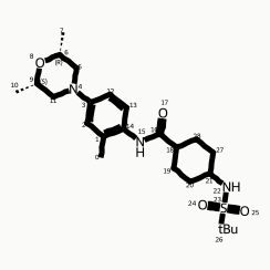 Cc1cc(N2C[C@@H](C)O[C@@H](C)C2)ccc1NC(=O)C1CCC(NS(=O)(=O)C(C)(C)C)CC1